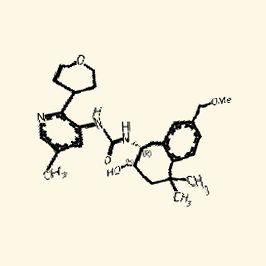 COCc1ccc2c(c1)[C@@H](NC(=O)Nc1cc(C)cnc1C1CCOCC1)[C@H](O)CC2(C)C